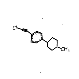 CC1CCC(c2ccc(C#CCl)cc2)CC1